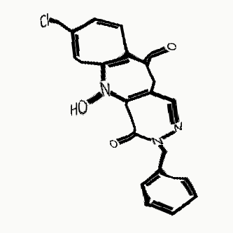 O=c1c2ccc(Cl)cc2n(O)c2c(=O)n(-c3ccccc3)ncc12